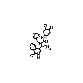 CC(c1c[nH]c(=O)c2ccccc12)N(Cc1cncs1)C(=O)NC1C=CC(=O)C(Cl)=C1